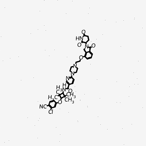 CC1(C)C(NC(=O)c2ccc(N3CCN(CCOc4cccc5c4CN(C4CCC(=O)NC4=O)C5=O)CC3)nc2)C(C)(C)C1Oc1ccc(C#N)c(Cl)c1